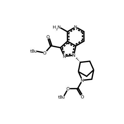 CC(C)(C)OC(=O)c1nn([C@@H]2CC3CC2N(C(=O)OC(C)(C)C)C3)c2ccnc(N)c12